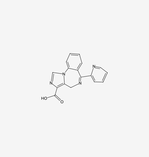 O=C(O)c1ncn2c1CN=C(c1ccccn1)c1ccccc1-2